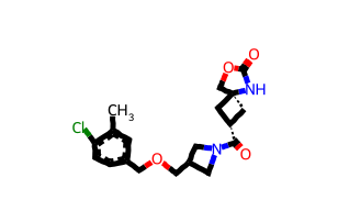 Cc1cc(COCC2CN(C(=O)[C@H]3C[C@@]4(COC(=O)N4)C3)C2)ccc1Cl